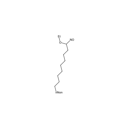 CCCCCCCCCCCCCCCCCC(N=O)OCC